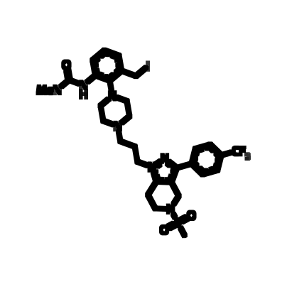 CNC(=O)Nc1cccc(CI)c1N1CCN(CCCn2nc(-c3ccc(C(F)(F)F)cc3)c3c2CCN(S(C)(=O)=O)C3)CC1